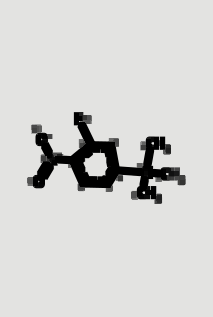 C[Si](C)(C)c1ccc([N+](=O)[O-])c(F)c1